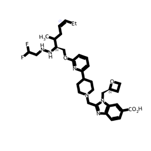 CC/C=C\CC(C)[C@@H](COc1cccc(C2CCN(Cc3nc4ccc(C(=O)O)cc4n3C[C@@H]3CCO3)CC2)n1)NNCC(F)F